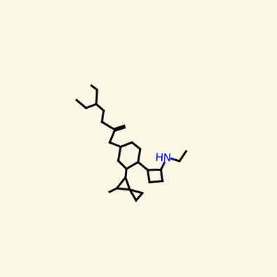 C=C(CCC(CC)CC)CC1CCC(C2CCC2NCC)C(C2C(C)C23CC3)C1